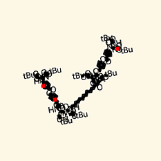 CC(C)(C)OC(=O)C[C@H](NC(=O)OCc1ccc(OC(=O)c2ccc(NC(=NC(=O)OC(C)(C)C)NC(=O)OC(C)(C)C)cc2)cc1)C(=O)N[C@@H](CC(=O)OC(C)(C)C)C(=O)NCCCCCCCCCCCCNC(=O)[C@H](CC(=O)OC(C)(C)C)NC(=O)[C@H](CC(=O)OC(C)(C)C)NC(=O)OCc1ccc(OC(=O)c2ccc(NC(=NC(=O)OC(C)(C)C)NC(=O)OC(C)(C)C)cc2)cc1